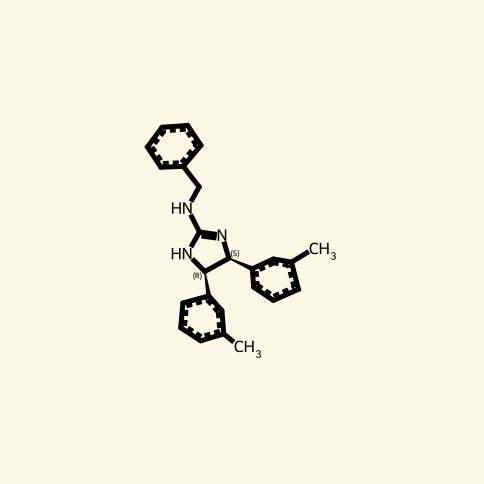 Cc1cccc([C@H]2NC(NCc3ccccc3)=N[C@H]2c2cccc(C)c2)c1